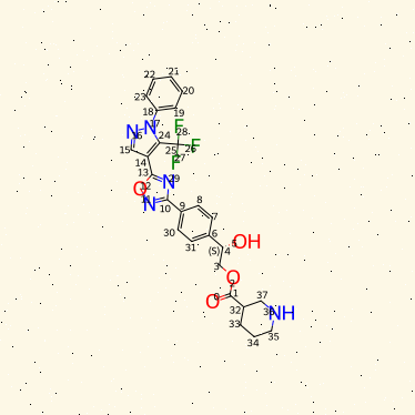 O=C(OC[C@@H](O)c1ccc(-c2noc(-c3cnn(-c4ccccc4)c3C(F)(F)F)n2)cc1)C1CCCNC1